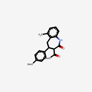 COC(=O)C1C(=O)Nc2cccc(C(F)(F)F)c2CC1c1ccc(OC)cc1